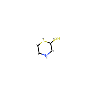 SC1C[N]CCS1